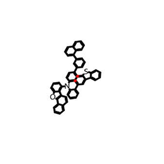 c1cc(-c2ccc(N(c3ccccc3-c3ccc4sc5ccccc5c4c3)c3cccc4oc5c6ccccc6ccc5c34)cc2)cc(-c2cccc3ccccc23)c1